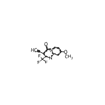 C#Cc1c(C(F)(F)F)nc2cc(OC)ccn2c1=O